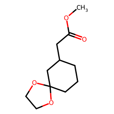 COC(=O)CC1CCCC2(C1)OCCO2